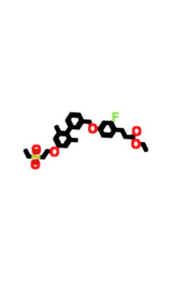 CCOC(=O)CCc1ccc(OCc2cccc(-c3c(C)cc(OCCS(=O)(=O)CC)cc3C)c2)cc1F